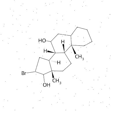 C[C@]12CCCCC1CC(O)[C@@H]1[C@H]2CC[C@]2(C)C(O)C(Br)C[C@@H]12